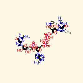 CNS(=O)(=O)C[C@@H]1[C@@H](COP(=O)(O)OP(=O)(O)OP(=O)(O)OC[C@H]2O[C@@H](n3cnc4c(N)ncnc43)[C@H](OC)[C@@H]2OP(=O)(O)OC[C@H]2O[C@@H](n3cnc4c(=O)[nH]c(N)nc43)[C@H](O)[C@@H]2O)OC(n2c[n+](C)c3c(=O)[nH]c(N)nc32)[C@@H]1O